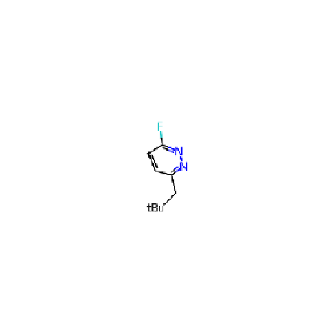 CC(C)(C)Cc1ccc(F)nn1